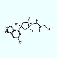 O=C(CO)NC1[C@H]2CC(O)(c3cc(Cl)cc4[nH]ncc34)C[C@@H]12